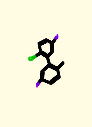 Cc1ccc(I)cc1-c1cc(I)ccc1Cl